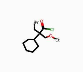 CCOCC(CC(C)C)(C(=O)Cl)C1CCCCC1